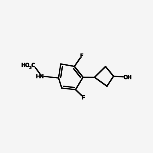 O=C(O)Nc1cc(F)c(C2CC(O)C2)c(F)c1